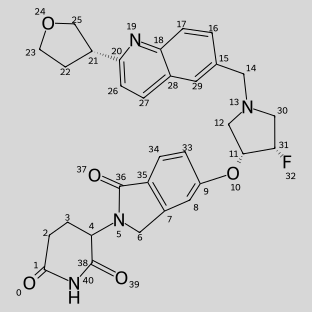 O=C1CCC(N2Cc3cc(O[C@@H]4CN(Cc5ccc6nc([C@@H]7CCOC7)ccc6c5)C[C@@H]4F)ccc3C2=O)C(=O)N1